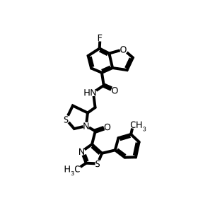 Cc1cccc(-c2sc(C)nc2C(=O)N2CSCC2CNC(=O)c2ccc(F)c3occc23)c1